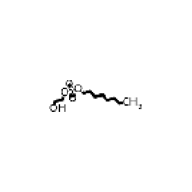 CCCCCCCCOS(=O)(=O)OCCO